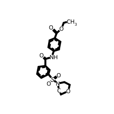 CCOC(=O)c1ccc(NC(=O)c2cccc(S(=O)(=O)N3CCOCC3)c2)cc1